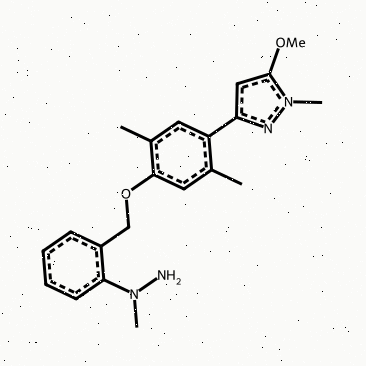 COc1cc(-c2cc(C)c(OCc3ccccc3N(C)N)cc2C)nn1C